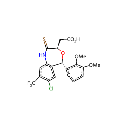 COc1cccc([C@H]2O[C@H](CC(=O)O)C(=S)Nc3cc(C(F)(F)F)c(Cl)cc32)c1OC